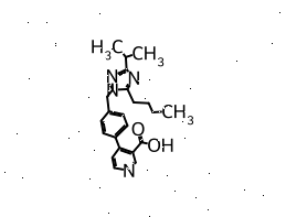 CCCCc1nc(C(C)C)nn1Cc1ccc(-c2ccncc2C(=O)O)cc1